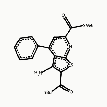 CCCCC(=O)c1sc2nc(C(=O)SC)cc(-c3ccccc3)c2c1N